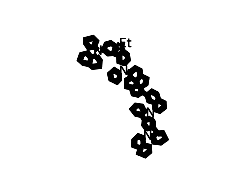 CCn1c2ccc(N(c3ccccc3)c3cccc4ccccc34)cc2c2cc(N(c3ccccc3)c3ccc4ccc5c(-c6ccc7cccc(-n8c9ccccc9c9cc%10c(cc98)c8ccccc8n%10-c8cccc9ccccc89)c7c6)ccc6ccc3c4c65)ccc21